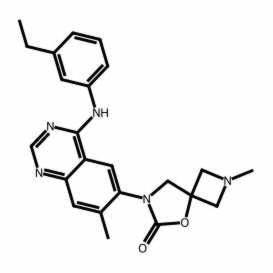 CCc1cccc(Nc2ncnc3cc(C)c(N4CC5(CN(C)C5)OC4=O)cc23)c1